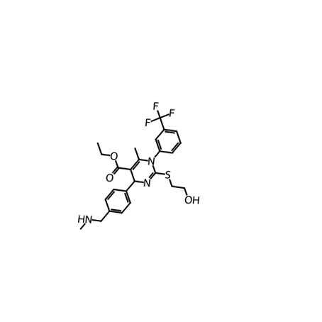 CCOC(=O)C1=C(C)N(c2cccc(C(F)(F)F)c2)C(SCCO)=NC1c1ccc(CNC)cc1